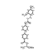 COC(C)OC(=O)c1ccc(-c2ccc(OC(=O)CCc3ccc(C)cc3C)cc2)cc1